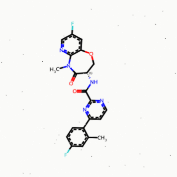 Cc1cc(F)ccc1-c1ccnc(C(=O)N[C@H]2COc3cc(F)cnc3N(C)C2=O)n1